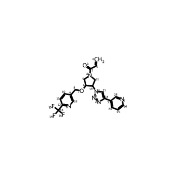 C=CC(=O)N1CC(OCc2ccc(C(F)(F)F)nc2)C(n2cc(-c3cccnc3)nn2)C1